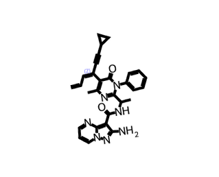 C=C/C=C(/C#CC1CC1)c1c(C)nc(C(C)NC(=O)c2c(N)nn3cccnc23)n(-c2ccccc2)c1=O